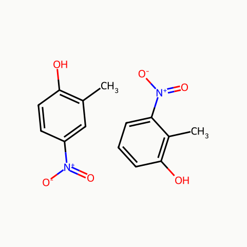 Cc1c(O)cccc1[N+](=O)[O-].Cc1cc([N+](=O)[O-])ccc1O